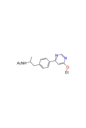 CCOc1cc(-c2ccc(CC(C)NC(C)=O)cc2)ncn1